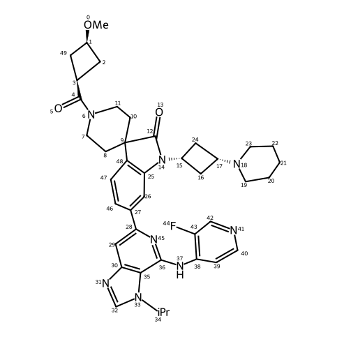 CO[C@H]1C[C@@H](C(=O)N2CCC3(CC2)C(=O)N([C@H]2C[C@@H](N4CCCCC4)C2)c2cc(-c4cc5ncn(C(C)C)c5c(Nc5ccncc5F)n4)ccc23)C1